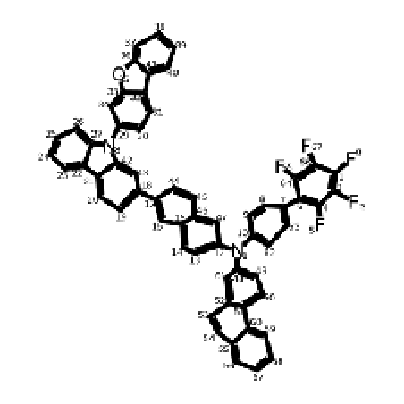 Fc1c(F)c(F)c(-c2ccc(N(c3ccc4cc(-c5ccc6c7ccccc7n(-c7ccc8c(c7)oc7ccccc78)c6c5)ccc4c3)c3ccc4c(ccc5ccccc54)c3)cc2)c(F)c1F